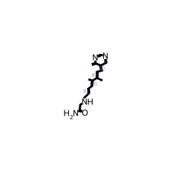 C=c1ncnc/c1=C/C=C(C)/C(C)=C/C=C/CNCC(N)=O